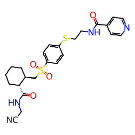 N#CCNC(=O)[C@@H]1CCCC[C@H]1CS(=O)(=O)c1ccc(SCCNC(=O)c2ccncc2)cc1